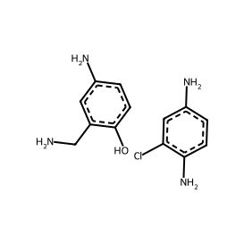 NCc1cc(N)ccc1O.Nc1ccc(N)c(Cl)c1